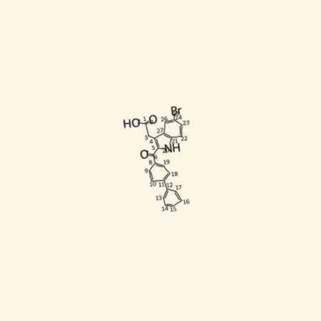 O=C(O)Cc1c(C(=O)c2ccc(-c3ccccc3)cc2)[nH]c2ccc(Br)cc12